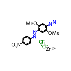 COc1cc([N+]#N)c(OC)cc1N=Nc1ccc([N+](=O)[O-])cc1.[Cl-].[Cl-].[Cl-].[Zn+2]